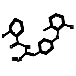 Cc1cccc(Cl)c1Oc1ccc(C=C(NC(=O)c2ccccc2F)C(=O)O)cc1